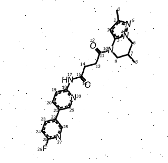 Cc1cc2n(n1)CC(C)CN2C(=O)CCC(=O)Nc1ccc(-c2ccc(F)nc2)cn1